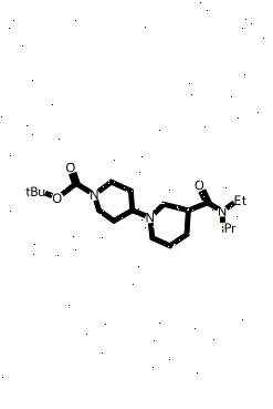 CCN(C(=O)C1CCCN(C2CCN(C(=O)OC(C)(C)C)CC2)C1)C(C)C